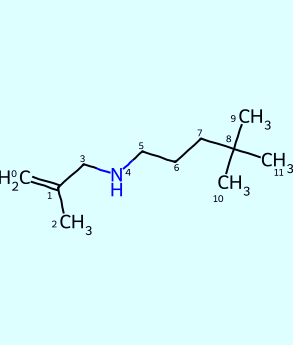 C=C(C)CNCCCC(C)(C)C